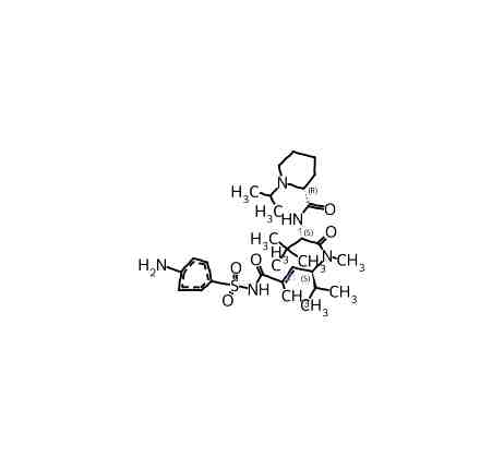 C/C(=C\[C@H](C(C)C)N(C)C(=O)[C@@H](NC(=O)[C@H]1CCCCN1C(C)C)C(C)(C)C)C(=O)NS(=O)(=O)c1ccc(N)cc1